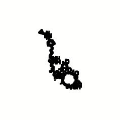 CC[C@H]1OC(=O)[C@H](C)[C@@H](O[C@H]2C[C@@](C)(OC)C[C@H](C)O2)C[C@@H](O[C@H]2C[C@@H](N(C)CCC3=CN(CCCCc4ccc(-n5cc(C6CC6)nn5)cc4)NN3)C[C@@H](C)O2)[C@H](O)C[C@@H](C)CN(C)[C@H](C)[C@@H](O)[C@]1(C)O